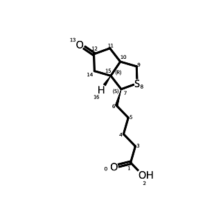 O=C(O)CCCC[C@@H]1SCC2CC(=O)C[C@H]21